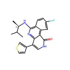 CC(C)[C@@H](C)Nc1nc2c(-c3ccsc3)c[nH]c(=O)c2c2cc(F)ccc12